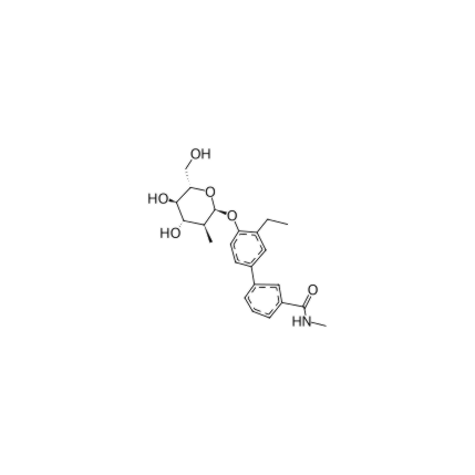 CCc1cc(-c2cccc(C(=O)NC)c2)ccc1O[C@@H]1O[C@@H](CO)[C@H](O)[C@@H](O)[C@@H]1C